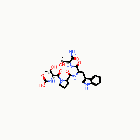 C[C@@H](O)[C@H](NC(=O)C(Cc1c[nH]c2ccccc12)NC(=O)C1CCCN1C(=O)[C@@H](NC(=O)O)[C@@H](C)O)C(N)=O